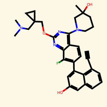 C#Cc1cccc2cc(O)cc(-c3ccc4c(N5CCCC(C)(O)C5)nc(OCC5(CN(C)C)CC5)nc4c3F)c12